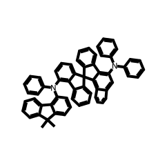 CC1(C)c2ccccc2-c2c(N(c3ccccc3)c3cccc4c3-c3ccccc3C43c4ccccc4-c4c(N(c5ccccc5)c5ccccc5)cc5ccccc5c43)cccc21